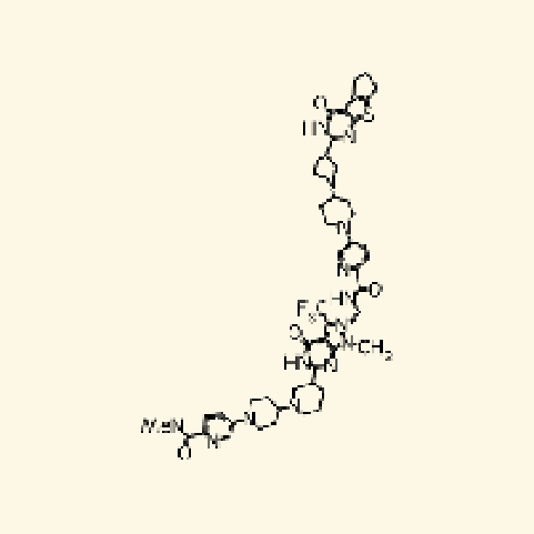 CNC(=O)c1ccc(N2CCC(N3CCCC(c4nc5c(c(C(F)(F)F)[n+](CNC(=O)c6ccc(N7CCC(N8CCC(c9nc%10sc%11c(c%10c(=O)[nH]9)CCC%11)C8)CC7)cn6)n5C)c(=O)[nH]4)C3)CC2)cn1